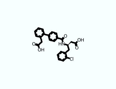 O=C(O)Cc1ccccc1-c1ccc(C(=O)N[C@@H](CC(=O)O)Cc2ccccc2Cl)cc1